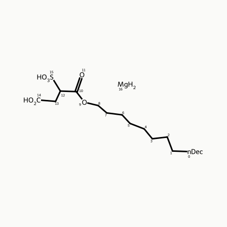 CCCCCCCCCCCCCCCCCCOC(=O)C(CC(=O)O)S(=O)(=O)O.[MgH2]